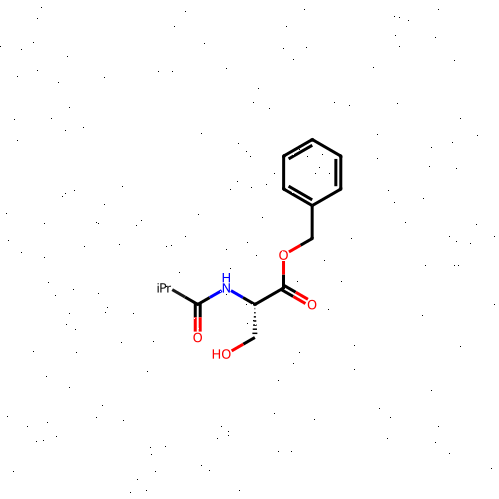 CC(C)C(=O)N[C@@H](CO)C(=O)OCc1ccccc1